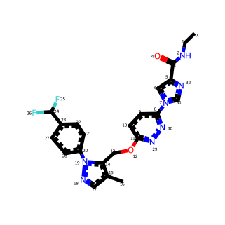 CCNC(=O)c1cn(-c2ccc(OCc3c(C)cnn3-c3ccc(C(F)F)cc3)nn2)cn1